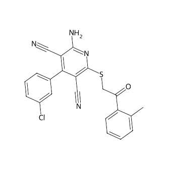 Cc1ccccc1C(=O)CSc1nc(N)c(C#N)c(-c2cccc(Cl)c2)c1C#N